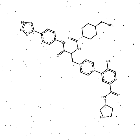 Cc1ccc(C(=O)N[C@@H]2CCNC2)cc1-c1ccc(C[C@H](NC(=O)[C@H]2CC[C@H](CN)CC2)C(=O)Nc2ccc(-c3nn[nH]n3)cc2)cc1